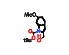 COc1ccc2cc(CO)n(C(=O)OC(C)(C)C)c2c1